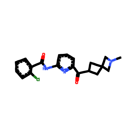 CN1CC2(CC(C(=O)c3cccc(NC(=O)c4ccccc4Cl)n3)C2)C1